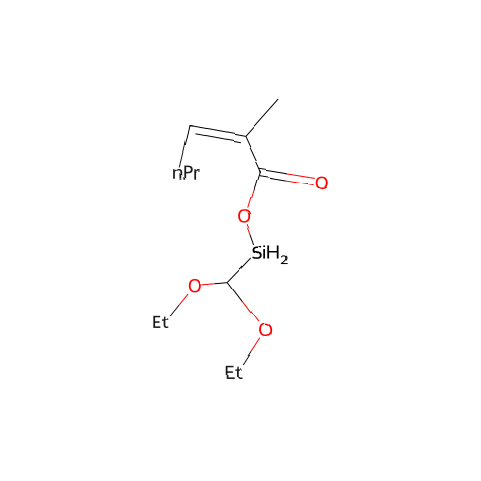 CCCC=C(C)C(=O)O[SiH2]C(OCC)OCC